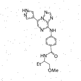 CCC(COC)NC(=O)c1ccc(Nc2ncc(-c3cn[nH]c3)n3ncnc23)cc1